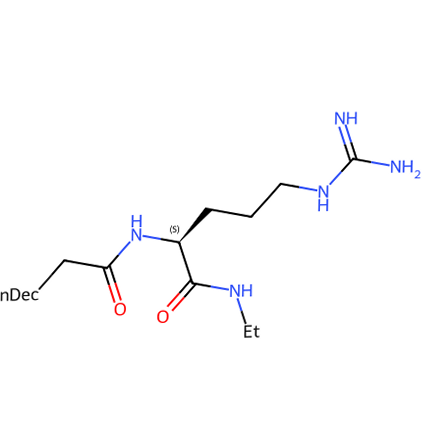 CCCCCCCCCCCC(=O)N[C@@H](CCCNC(=N)N)C(=O)NCC